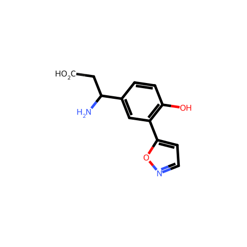 NC(CC(=O)O)c1ccc(O)c(-c2ccno2)c1